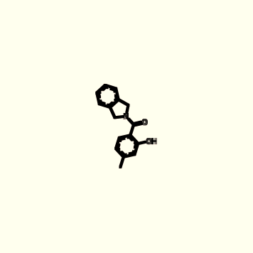 Cc1ccc(C(=O)N2Cc3ccccc3C2)c(O)c1